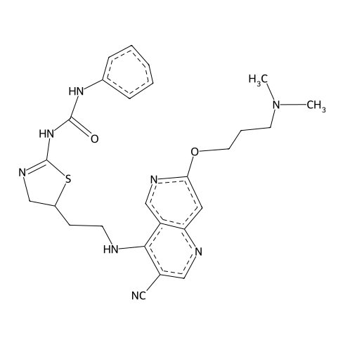 CN(C)CCCOc1cc2ncc(C#N)c(NCCC3CN=C(NC(=O)Nc4ccccc4)S3)c2cn1